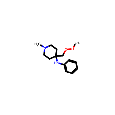 COOCC1(Nc2ccccc2)CCN(C)CC1